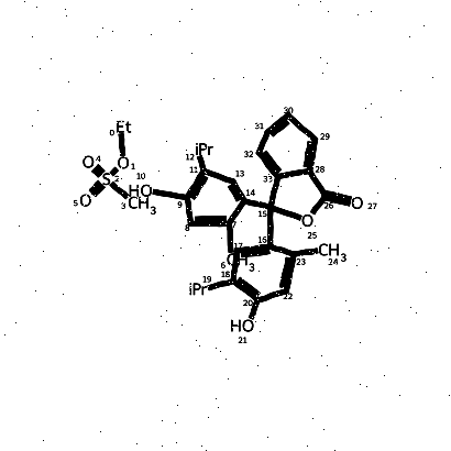 CCOS(C)(=O)=O.Cc1cc(O)c(C(C)C)cc1C1(c2cc(C(C)C)c(O)cc2C)OC(=O)c2ccccc21